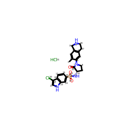 Cc1cc2c(cc1N1CC[C@H](NS(=O)(=O)c3ccc4c(Cl)c[nH]c4c3)C1=O)CCNC2.Cl